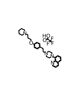 O=C(O)C(F)(F)F.c1cnc2c(N3CCN(CCc4ccc(OCCCN5CCCCC5)cc4)CC3)cccc2c1